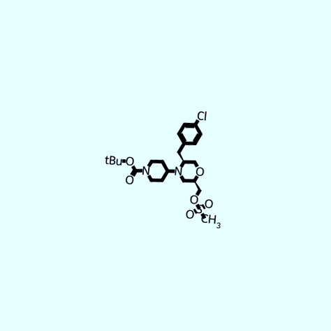 CC(C)(C)OC(=O)N1CCC(N2C[C@H](COS(C)(=O)=O)OC[C@@H]2Cc2ccc(Cl)cc2)CC1